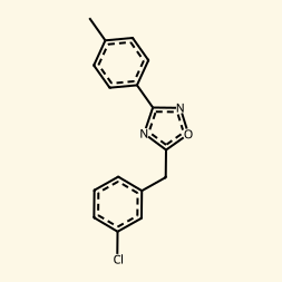 Cc1ccc(-c2noc(Cc3cccc(Cl)c3)n2)cc1